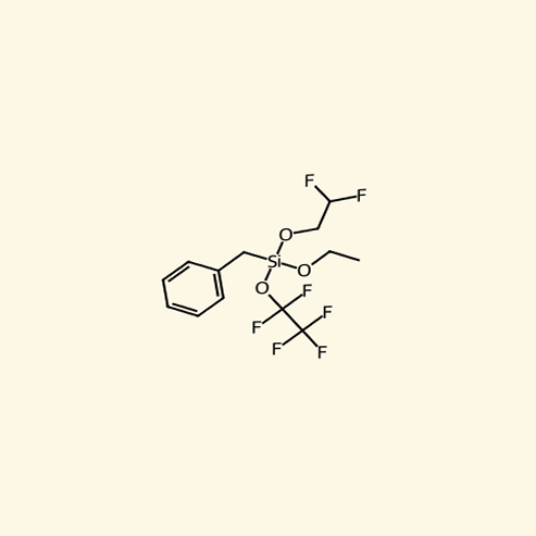 CCO[Si](Cc1ccccc1)(OCC(F)F)OC(F)(F)C(F)(F)F